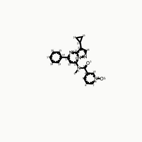 CN(C(=O)c1ccc[n+]([O-])c1)c1cc(-c2ccccc2)nc2c(C3CC3)cnn12